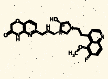 COc1c(F)ccc2nccc(CCN3C[C@H](CNCc4ccc5c(n4)NC(=O)CO5)[C@H](O)C3)c12